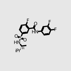 CC(C)[C@@H](C)NS(=O)(=O)c1ccc(F)c(C(=O)Nc2ccc(F)c(F)c2)c1